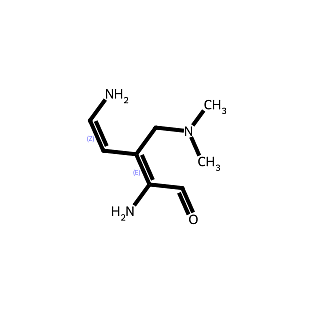 CN(C)CC(/C=C\N)=C(/N)C=O